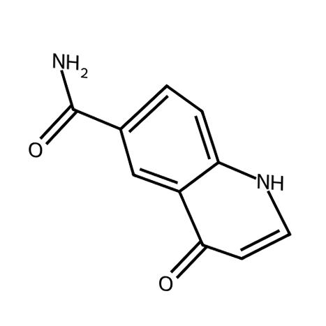 NC(=O)c1ccc2[nH]ccc(=O)c2c1